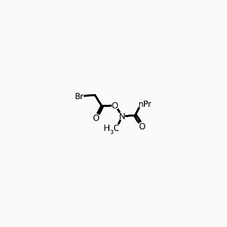 CCCC(=O)N(C)OC(=O)CBr